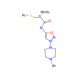 CC(=O)N[C@@H](CSC(C)=O)C(=O)[N-]c1c[n+](N2CCN(C(C)C)CC2)no1